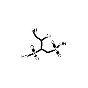 O=S(=O)(O)CC(C(S)CS)S(=O)(=O)O